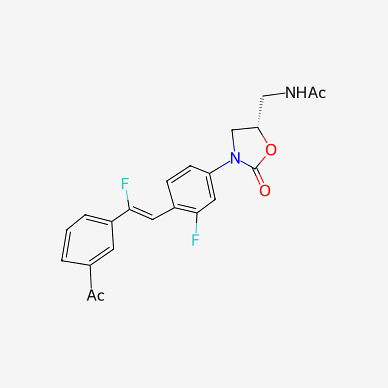 CC(=O)NC[C@H]1CN(c2ccc(C=C(F)c3cccc(C(C)=O)c3)c(F)c2)C(=O)O1